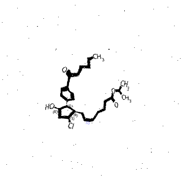 CCCCCC(=O)c1ccc([C@@H]2[C@@H](C/C=C\CCCC(=O)OC(C)C)[C@@H](Cl)C[C@H]2O)cc1